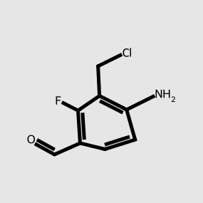 Nc1ccc(C=O)c(F)c1CCl